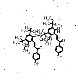 CCOc1c(C(C)(C)C)cc(C(C)(C)C)c(O)c1/C=C/C(=O)c1ccc(O)cc1.CCOc1c(C(C)(C)CC)cc(C(C)(C)CC)c(O)c1/C=C/C(=O)c1ccc(O)cc1